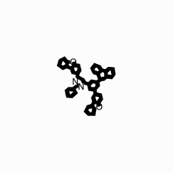 c1ccc(-c2nc(-c3cc(-c4ccc5oc6ccccc6c5c4)cc(-c4cc5ccccc5c5ccccc45)c3)cc(-c3ccc4oc5ccccc5c4c3)n2)cc1